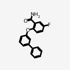 NC(=O)c1cc(F)ccc1Oc1cccc(-c2ccccc2)c1